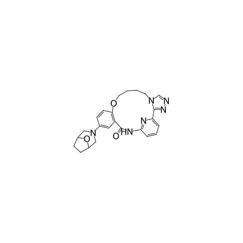 O=C1Nc2cccc(n2)-c2nncn2CCCCOc2ccc(N3CC4CCC(C3)O4)cc21